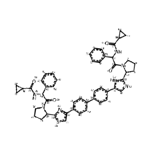 O=C(NC(C(=O)N1CCCC1c1ncc(-c2ccc(-c3ccc(-c4csc(C5CCCN5C(=O)[C@H](NC(=O)C5CC5)c5ccccc5)n4)cc3)cc2)[nH]1)c1ccccc1)C1CC1